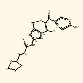 Cc1ccc(C(=O)C2=C(O)c3sc(NC(=O)OCC4CCCO4)nc3CC2)cn1